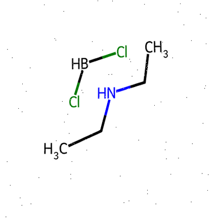 CCNCC.ClBCl